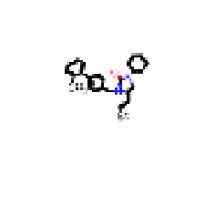 CC/C=C/c1cn(-c2ccccc2)c(=O)n1Cc1ccc(-c2ccccc2C(=O)O)cc1